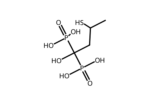 CC(S)CC(O)(P(=O)(O)O)P(=O)(O)O